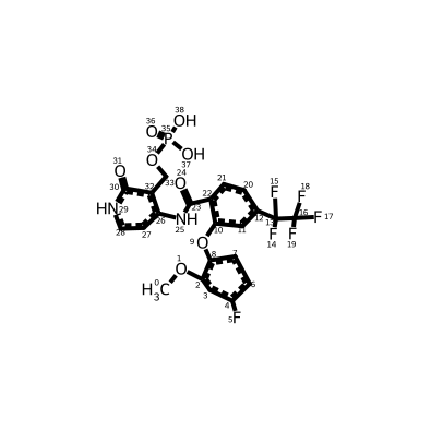 COc1cc(F)ccc1Oc1cc(C(F)(F)C(F)(F)F)ccc1C(=O)Nc1cc[nH]c(=O)c1COP(=O)(O)O